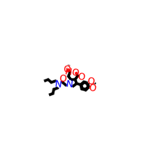 CCCCN(CCCC)C(=O)CN1CC(c2ccc3c(c2)OCO3)C(C(=O)O)C1CCOC